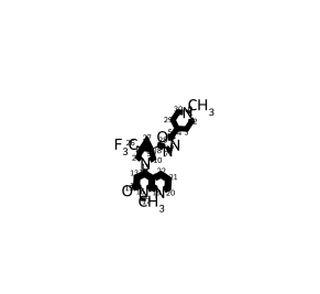 CN1CCC(c2nnc([C@]34CN(c5cc(=O)n(C)c6ncccc56)C[C@@]3(C(F)(F)F)C4)o2)CC1